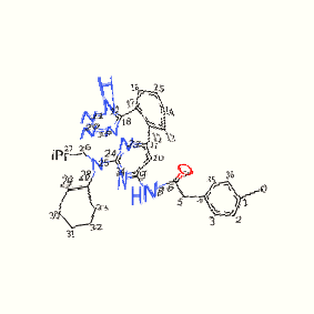 Cc1ccc(CC(=O)Nc2cc(-c3ccccc3-c3nnn[nH]3)nc(N(CC(C)C)C3CCCCC3)n2)cc1